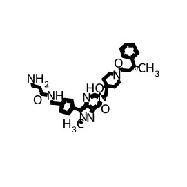 C[C@H](CC(=O)N1CCC(O)(Cn2cnc3c(-c4ccc(CNC(=O)CCN)cc4)n(C)nc3c2=O)CC1)c1ccccc1